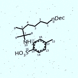 CCCCCCCCCCCCCCC(C)C(C)(C)N.Cc1ccc(S(=O)(=O)O)cc1